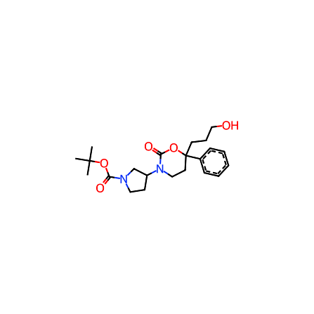 CC(C)(C)OC(=O)N1CCC(N2CCC(CCCO)(c3ccccc3)OC2=O)C1